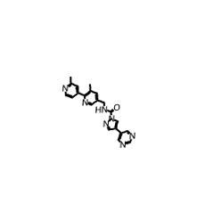 Cc1cc(-c2ncc(CNC(=O)n3cc(-c4cncnc4)cn3)cc2C)ccn1